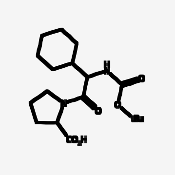 CC(C)(C)OC(=O)NC(C(=O)N1CCCC1C(=O)O)C1CCCCC1